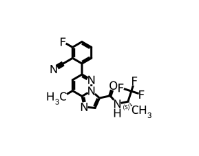 Cc1cc(-c2cccc(F)c2C#N)nn2c(C(=O)N[C@@H](C)C(F)(F)F)cnc12